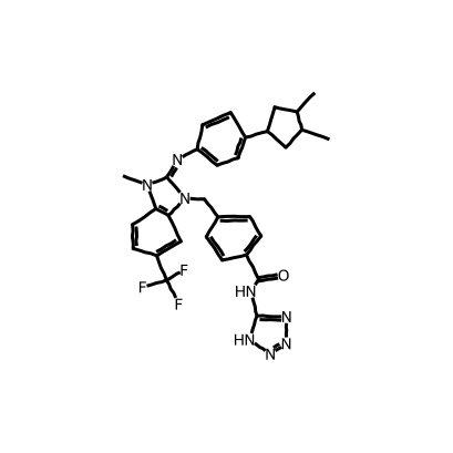 CC1CC(c2ccc(N=c3n(C)c4ccc(C(F)(F)F)cc4n3Cc3ccc(C(=O)Nc4nnn[nH]4)cc3)cc2)CC1C